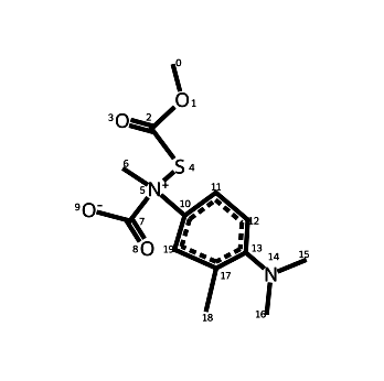 COC(=O)S[N+](C)(C(=O)[O-])c1ccc(N(C)C)c(C)c1